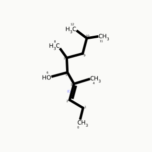 CC/C=C(\C)C(O)C(C)CC(C)C